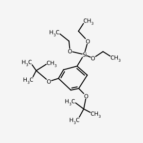 CCO[Si](OCC)(OCC)c1cc(OC(C)(C)C)cc(OC(C)(C)C)c1